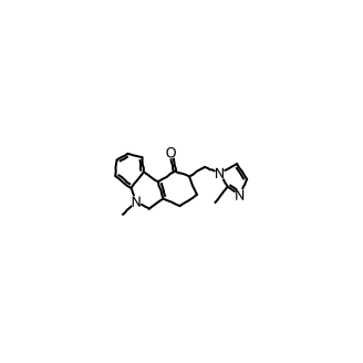 Cc1nccn1CC1CCC2=C(C1=O)c1ccccc1N(C)C2